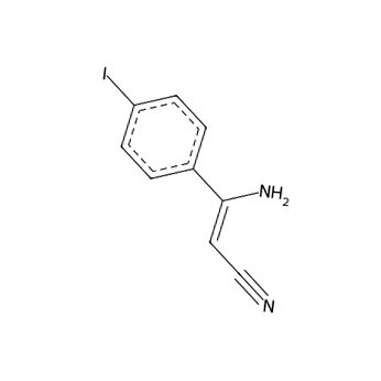 N#CC=C(N)c1ccc(I)cc1